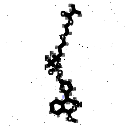 COC(=O)c1ccccc1/C(C#N)=C1/C=CC(=NOS(=O)(=O)C(F)(F)C(F)(F)CCCOCCOC(=O)C(C)C)S1